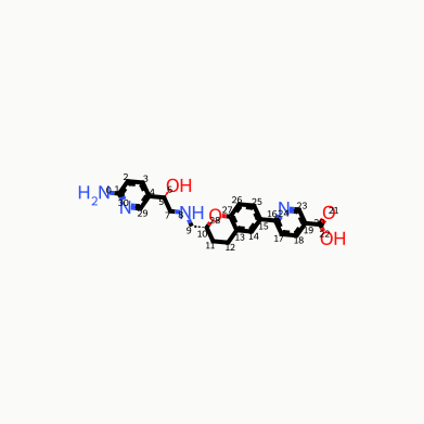 Nc1ccc([C@H](O)CNC[C@H]2CCc3cc(-c4ccc(C(=O)O)cn4)ccc3O2)cn1